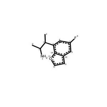 CC(N)C(C)c1cc(F)cc2ccoc12